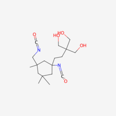 CC1(C)CC(C)(CN=C=O)CC(CCC(CO)(CO)CO)(N=C=O)C1